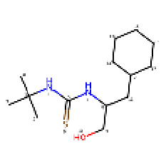 CC(C)(C)NC(=S)NC(CO)CC1CCCCC1